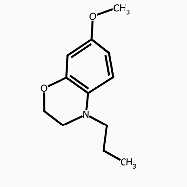 CCCN1CCOc2cc(OC)ccc21